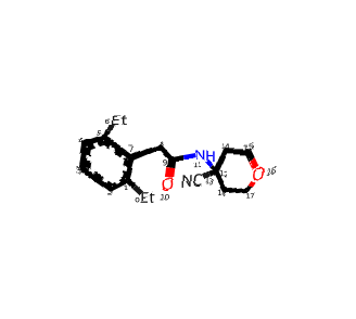 CCc1cccc(CC)c1CC(=O)NC1(C#N)CCOCC1